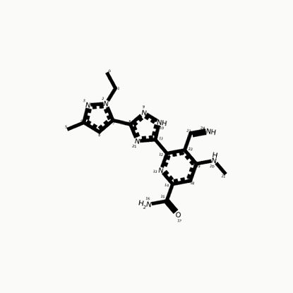 CCn1nc(C)cc1-c1n[nH]c(-c2nc(C(N)=O)cc(NC)c2C=N)n1